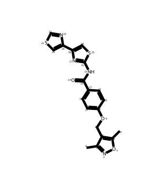 Cc1noc(C)c1COc1ccc(C(=O)Nc2nc(-c3cscn3)cs2)cc1